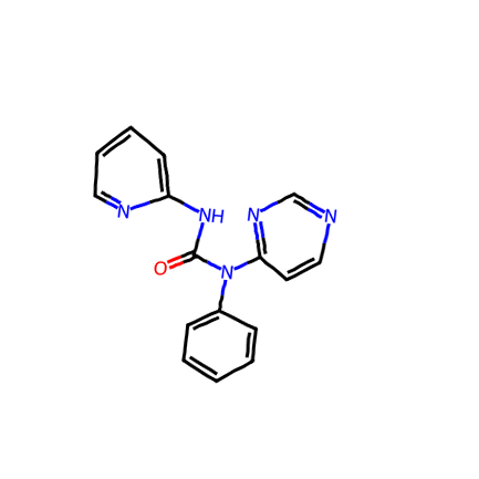 O=C(Nc1ccccn1)N(c1ccccc1)c1ccncn1